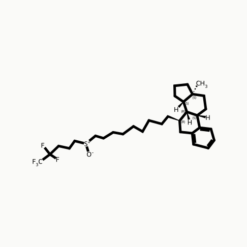 C[C@@]12CCC[C@H]1[C@H]1[C@H](CCCCCCCCC[S+]([O-])CCCC(F)(F)C(F)(F)F)Cc3ccccc3[C@H]1CC2